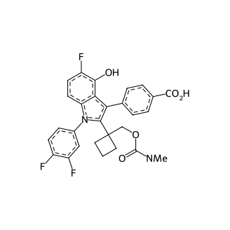 CNC(=O)OCC1(c2c(-c3ccc(C(=O)O)cc3)c3c(O)c(F)ccc3n2-c2ccc(F)c(F)c2)CCC1